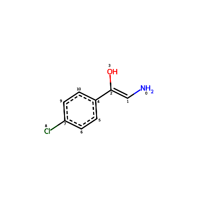 N/C=C(\O)c1ccc(Cl)cc1